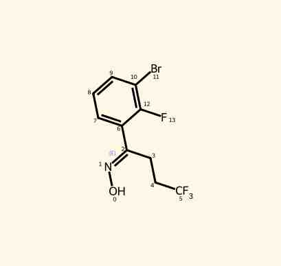 O/N=C(\CCC(F)(F)F)c1cccc(Br)c1F